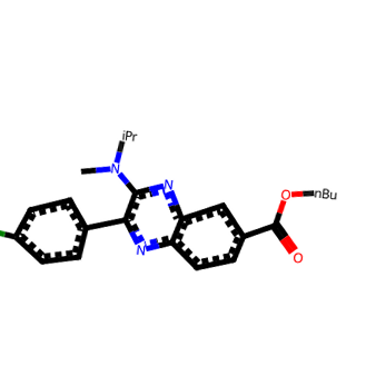 CCCCOC(=O)c1ccc2nc(-c3ccc(F)cc3)c(N(C)C(C)C)nc2c1